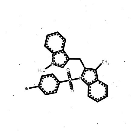 Cc1c(Cc2cn(C)c3ccccc23)n(S(=O)(=O)c2ccc(Br)cc2)c2ccccc12